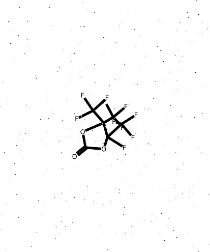 O=C1OC(F)(C(F)(F)F)C(C(F)(F)F)(C(F)(F)F)O1